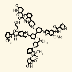 COc1cc2nn([C@@H]3CC[C@@H](CN4CCC(c5cccc6c5n(C)c(=O)n6C5CCC(=O)NC5=O)CC4)C(C4C[C@H](n5cc6cc(NC(=O)c7cccc(C(F)(F)F)n7)c(OCCO)cc6n5)CC[C@H]4CN(C)C4CCN(c5cccc6c5n(C)c(=O)n6C5CCC(=O)NC5=O)CC4)C3)cc2cc1NC(=O)c1cncnc1